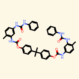 Cc1ccc(NC(=O)Oc2ccc(C(C)(C)c3ccc(OC(=O)Nc4cc(NC(=O)Nc5ccccc5)ccc4C)cc3)cc2)cc1NC(=O)Nc1ccccc1